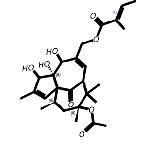 C/C=C(\C)C(=O)OCC1=CC2C(=O)C3(C=C(C)C(O)[C@@]3(O)C1O)[C@H](C)C[C@@](C)(OC(C)=O)C2(C)C